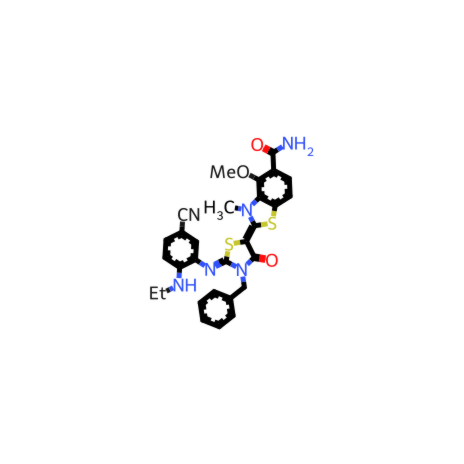 CCNc1ccc(C#N)cc1N=C1SC(=C2Sc3ccc(C(N)=O)c(OC)c3N2C)C(=O)N1Cc1ccccc1